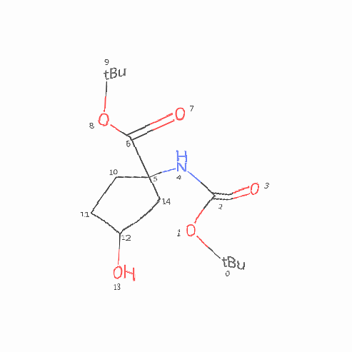 CC(C)(C)OC(=O)NC1(C(=O)OC(C)(C)C)CCC(O)C1